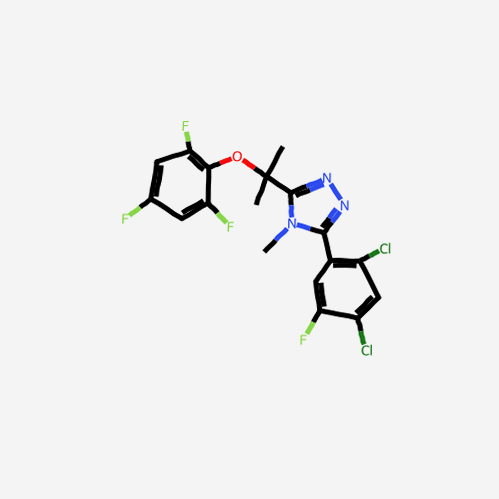 Cn1c(-c2cc(F)c(Cl)cc2Cl)nnc1C(C)(C)Oc1c(F)cc(F)cc1F